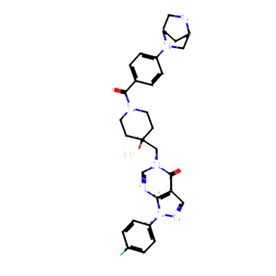 O=C(c1ccc(N2CC3CC2CN3)cc1)N1CCC(O)(Cn2cnc3c(cnn3-c3ccc(F)cc3)c2=O)CC1